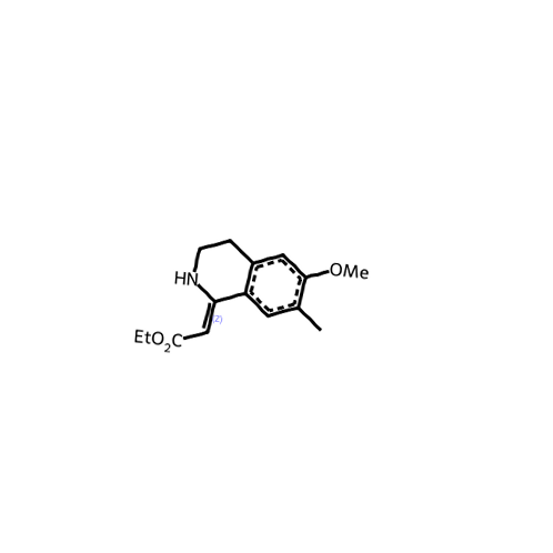 CCOC(=O)/C=C1\NCCc2cc(OC)c(C)cc21